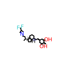 C=C1[C@H](O)CC(=C/C=C2\CCC[C@]3(C)[C@@H](C(C)CCN4CC(C(F)F)C4)CC[C@@H]23)C[C@H]1O